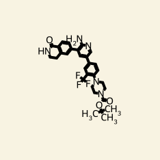 CC(C)(C)OC(=O)N1CCN(c2ccc(-c3cnc(N)c(-c4ccc5c(c4)CCNC5=O)c3)cc2C(F)(F)F)CC1